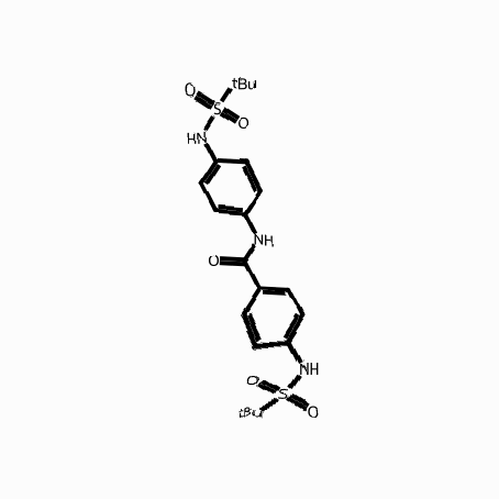 CC(C)(C)S(=O)(=O)Nc1ccc(NC(=O)c2ccc(NS(=O)(=O)C(C)(C)C)cc2)cc1